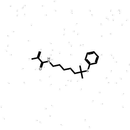 C=C(C)C(=O)NCCCCCC(C)(C)Sc1ccccc1